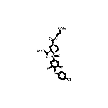 COCCOC(=O)N1CCN(S(=O)(=O)c2cc(F)c(Oc3ccc(Cl)cc3)c(F)c2)[C@@H](C(=O)OC)C1